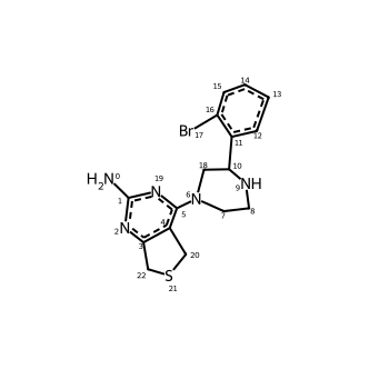 Nc1nc2c(c(N3CCNC(c4ccccc4Br)C3)n1)CSC2